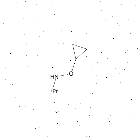 CC(C)NOC1CC1